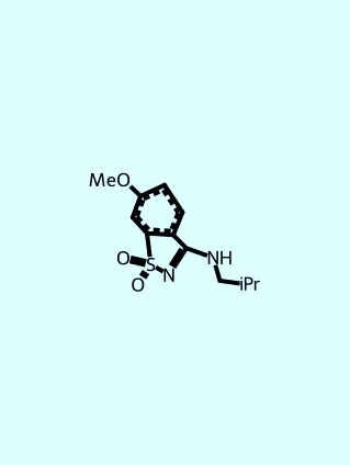 COc1ccc2c(c1)S(=O)(=O)N=C2NCC(C)C